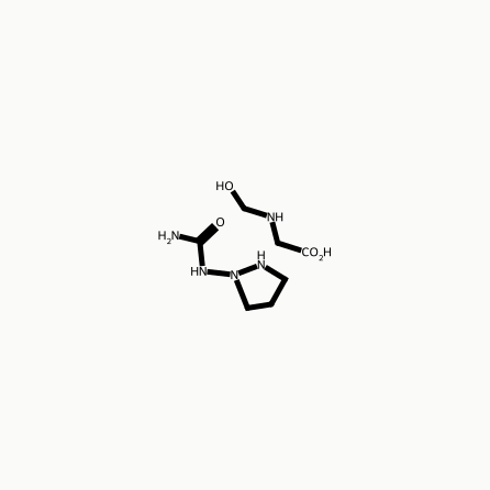 NC(=O)NN1CCCN1.O=C(O)CNCO